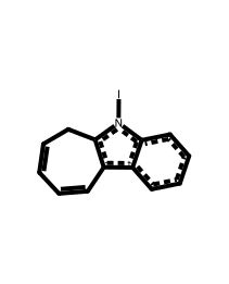 In1c2c(c3ccccc31)C=CC=CC2